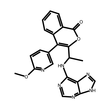 COc1ccc(-c2c(C(C)Nc3ncnc4[nH]cnc34)oc(=O)c3ccccc23)cn1